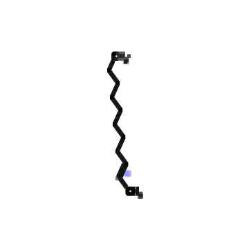 [CH2]CCCCCCC/C=[C]/C